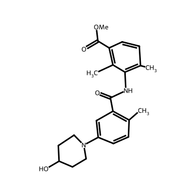 COC(=O)c1ccc(C)c(NC(=O)c2cc(N3CCC(O)CC3)ccc2C)c1C